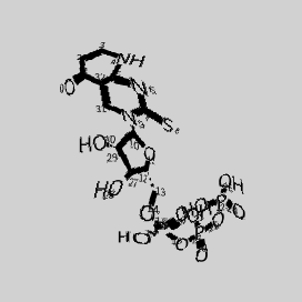 O=c1cc[nH]c2nc(=S)n([C@@H]3O[C@H](COP(=O)(O)OP(=O)(O)OP(=O)(O)O)C(O)[C@@H]3O)cc12